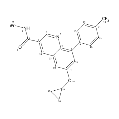 CC(C)NC(=O)c1cnc2c(-c3ccc(C(F)(F)F)cc3)cc(OC3CC3)cc2c1